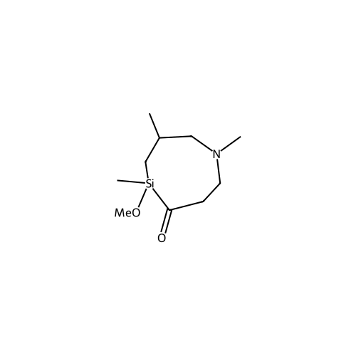 CO[Si]1(C)CC(C)CN(C)CCC1=O